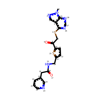 Cn1ncc2c(SCC(=O)c3ccc(CNC(=O)Cc4cccnc4)s3)ncnc21